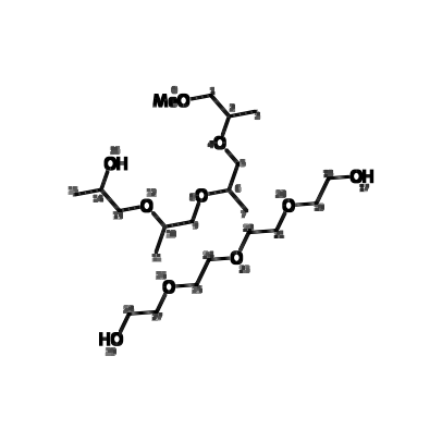 COCC(C)OCC(C)OCC(C)OCC(C)O.OCCOCCOCCOCCO